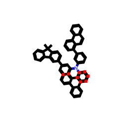 CC1(C)c2ccccc2-c2cc(-c3cccc(N(c4cccc(-c5cccc6c5ccc5ccccc56)c4)c4ccccc4-c4ccccc4-c4ccccc4-c4ccccc4)c3)ccc21